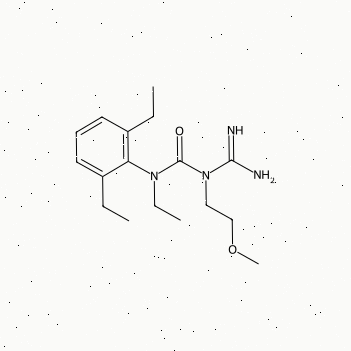 CCc1cccc(CC)c1N(CC)C(=O)N(CCOC)C(=N)N